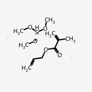 C=CCOC(=O)C(=C)C.CO[SiH](OC)OC